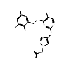 CNC(=O)Cn1cc(Nc2ncc(C)c(NCc3cc(F)cc(F)c3OC)n2)cn1